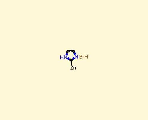 Br.[Zn][c]1ncc[nH]1